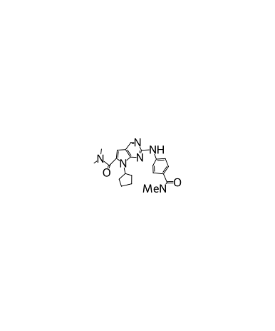 CNC(=O)c1ccc(Nc2ncc3cc(C(=O)N(C)C)n(C4CCCC4)c3n2)cc1